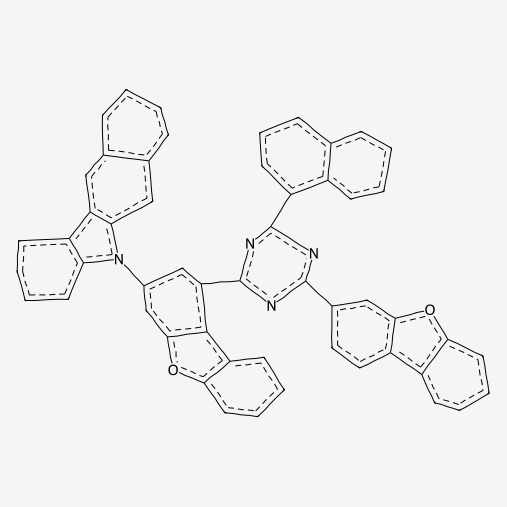 c1ccc2cc3c(cc2c1)c1ccccc1n3-c1cc(-c2nc(-c3ccc4c(c3)oc3ccccc34)nc(-c3cccc4ccccc34)n2)c2c(c1)oc1ccccc12